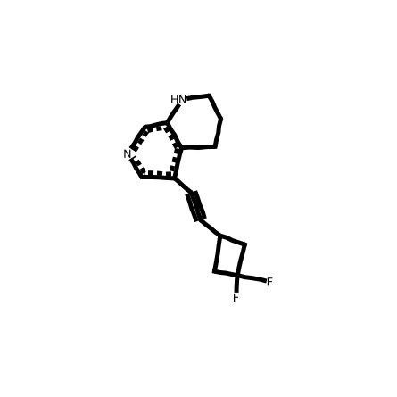 FC1(F)CC(C#Cc2cncc3c2CCCN3)C1